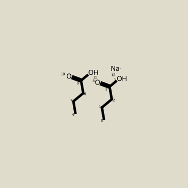 CCCC(=O)O.CCCC(=O)O.[Na]